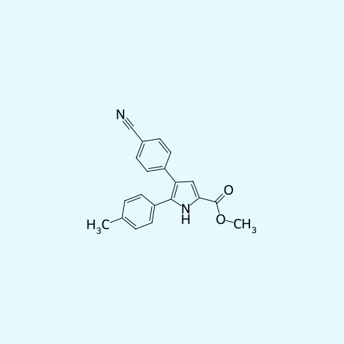 COC(=O)c1cc(-c2ccc(C#N)cc2)c(-c2ccc(C)cc2)[nH]1